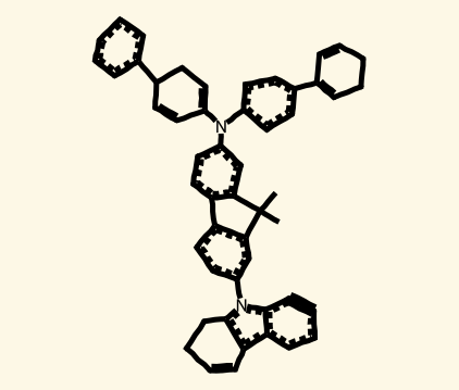 CC1(C)c2cc(N(C3=CCC(c4ccccc4)C=C3)c3ccc(C4=CCCC=C4)cc3)ccc2-c2ccc(-n3c4c(c5ccc#cc53)C=CCC4)cc21